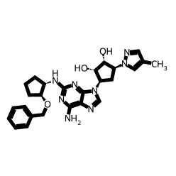 Cc1cnn([C@H]2C[C@@H](n3cnc4c(N)nc(N[C@H]5CCC[C@@H]5OCc5ccccc5)nc43)[C@H](O)[C@@H]2O)c1